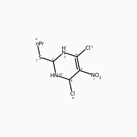 CCCSC1NC(Cl)=C([N+](=O)[O-])C(Cl)N1